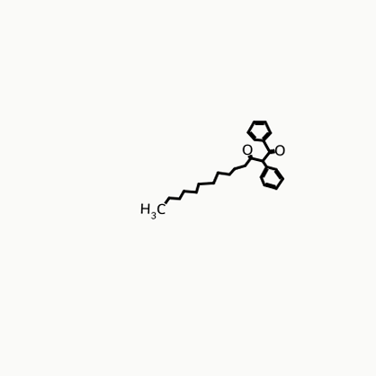 CCCCCCCCCCCC(=O)C(C(=O)c1ccccc1)c1ccccc1